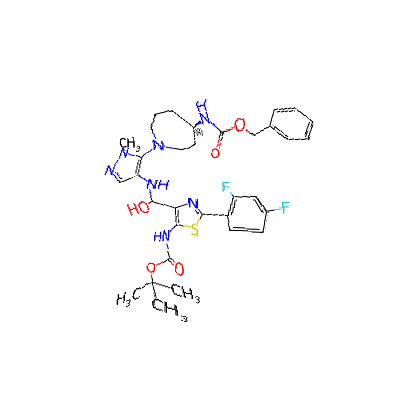 Cn1ncc(NC(O)c2nc(-c3ccc(F)cc3F)sc2NC(=O)OC(C)(C)C)c1N1CCC[C@@H](NC(=O)OCc2ccccc2)CC1